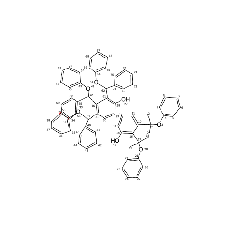 CC(C)(Oc1ccccc1)c1cccc(O)c1C(C)(C)Oc1ccccc1.Oc1ccc(C(Oc2ccccc2)c2ccccc2)c(C(Oc2ccccc2)c2ccccc2)c1C(Oc1ccccc1)c1ccccc1